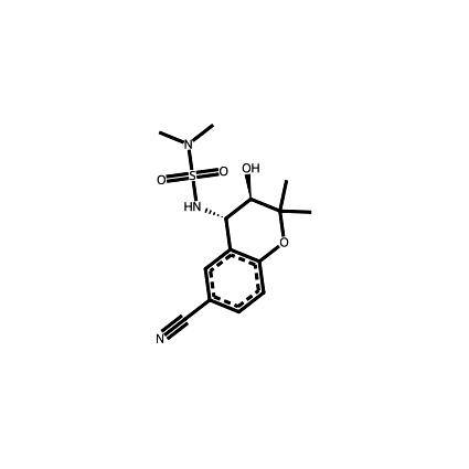 CN(C)S(=O)(=O)N[C@H]1c2cc(C#N)ccc2OC(C)(C)[C@@H]1O